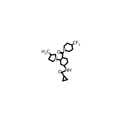 CC1CCN(C2CC(NC(=O)C3CC3)CCC2C(=O)N2CCC(C(F)(F)F)CC2)C1